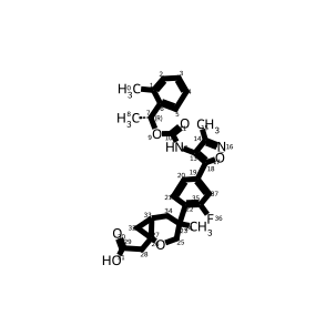 Cc1ccccc1[C@@H](C)OC(=O)Nc1c(C)noc1-c1ccc(C2(C)COC3(CC(=O)O)CC3C2)c(F)c1